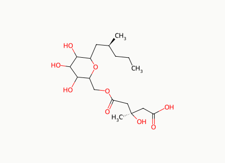 CCC[C@H](C)CC1OC(COC(=O)C[C@](C)(O)CC(=O)O)C(O)C(O)C1O